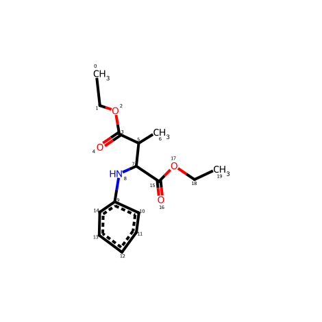 CCOC(=O)C(C)C(Nc1ccccc1)C(=O)OCC